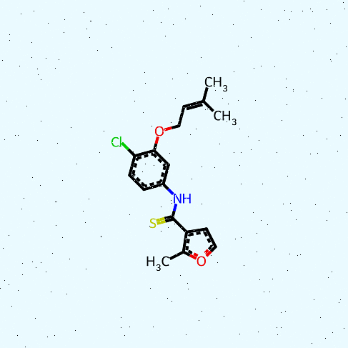 CC(C)=CCOc1cc(NC(=S)c2ccoc2C)ccc1Cl